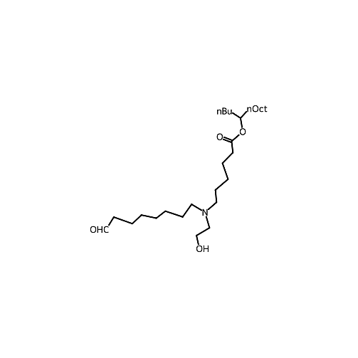 CCCCCCCCC(CCCC)OC(=O)CCCCCN(CCO)CCCCCCCC=O